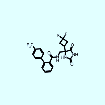 O=C1NC(=O)C(CNC(=O)c2ccccc2-c2ccc(C(F)(F)F)cc2)(C2CC(F)(F)C2)N1